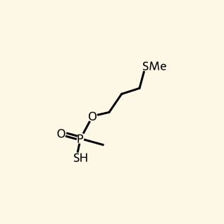 CSCCCOP(C)(=O)S